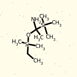 CC[Si](C)(C)OC(C)(N)[Si](C)(C)C